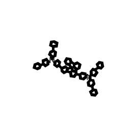 C1=CC(N(c2ccc(-c3ccccc3)cc2)c2ccc(-c3ccc4c(c3)C3(c5ccccc5-c5ccccc53)c3cc(-c5ccc(N(c6ccc(-c7ccccc7)cc6)c6ccc(-c7ccccc7)cc6)cc5)ccc3-4)cc2)CC=C1c1ccccc1